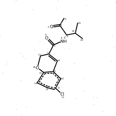 CC(=O)[C@@H](NC(=O)C1=Cc2cc(Cl)ccc2OC1)C(C)C